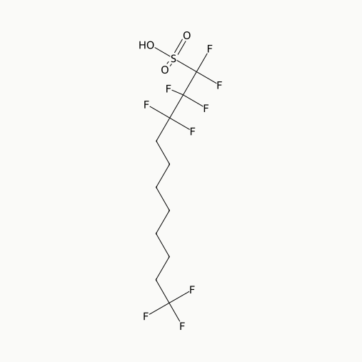 O=S(=O)(O)C(F)(F)C(F)(F)C(F)(F)CCCCCCCC(F)(F)F